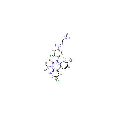 CNCCNc1cc(F)c(N2C(=O)N(C(C)C)c3ncc(Cl)cc3-c3ccc(Cl)cc32)c(F)c1